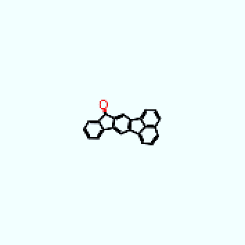 O=C1c2ccccc2-c2cc3c(cc21)-c1cccc2cccc-3c12